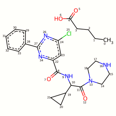 CCCCC(=O)O.O=C(NC(C(=O)N1CCNCC1)C1CC1)c1cc(Cl)nc(-c2ccccc2)n1